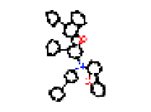 c1ccc(-c2ccc(N(c3cc(-c4ccccc4)c4c(c3)oc3c5ccccc5c(-c5ccccc5)cc34)c3cccc4c3oc3ccccc34)cc2)cc1